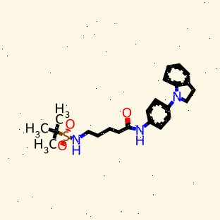 CC(C)(C)S(=O)(=O)NCCCCC(=O)Nc1ccc(N2CCc3ccccc32)cc1